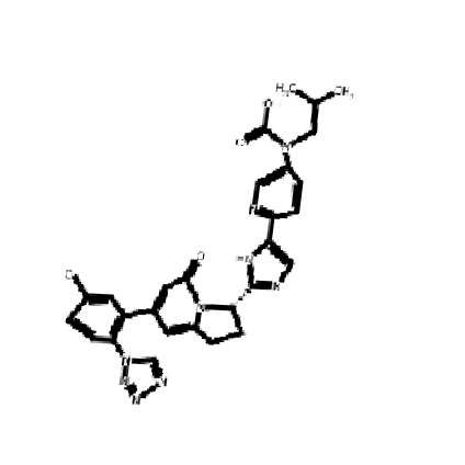 CC(C)CN(C(=O)O)c1ccc(-c2cnc([C@@H]3CCc4cc(-c5cc(Cl)ccc5-n5cnnn5)cc(=O)n43)[nH]2)nc1